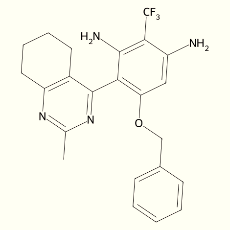 Cc1nc2c(c(-c3c(OCc4ccccc4)cc(N)c(C(F)(F)F)c3N)n1)CCCC2